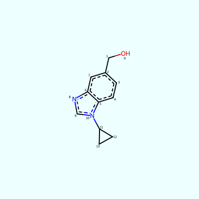 OCc1ccc2c(c1)ncn2C1CC1